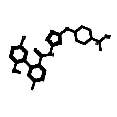 COc1cnc(Cl)cc1-c1cc(C)ncc1C(=O)Nc1nnc(OC2CCC([C@H](C)O)CC2)s1